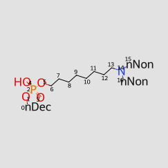 CCCCCCCCCCOP(=O)(O)OCCCCCCCCN(CCCCCCCCC)CCCCCCCCC